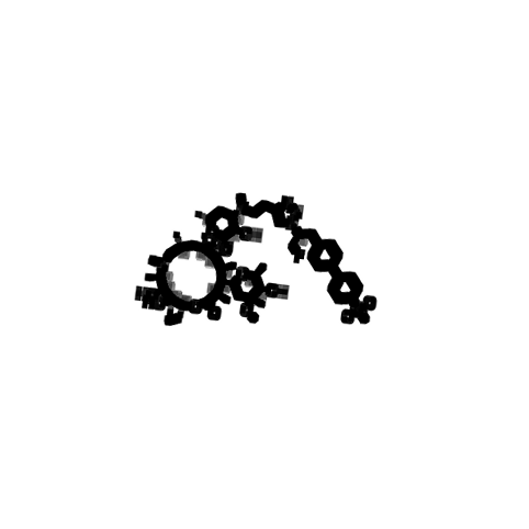 CC[C@H]1OC(=O)[C@H](C)[C@@H](C2C[C@@](C)(OC)[C@@H](O)[C@H](C)O2)[C@H](C)[C@@H](O[C@@H]2O[C@H](C)C[C@H](N(C)CCc3cn([C@H](CF)Cc4ccc(-c5ccc(S(C)(=O)=O)cc5)cc4)nn3)[C@H]2O)[C@](C)(O)C[C@@H](C)CN(C)[C@H](C)[C@@H](O)[C@]1(C)O